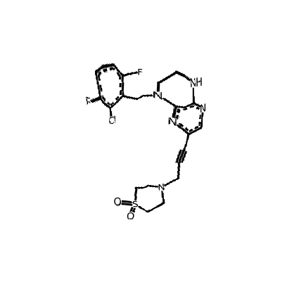 O=S1(=O)CCN(CC#Cc2cnc3c(n2)N(Cc2c(F)ccc(F)c2Cl)CCN3)CC1